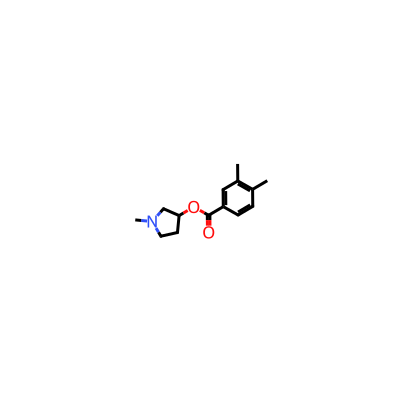 Cc1ccc(C(=O)OC2CCN(C)C2)cc1C